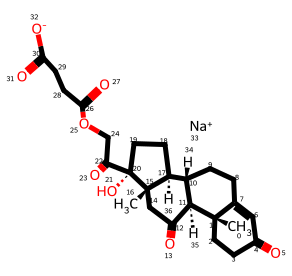 C[C@]12CCC(=O)C=C1CC[C@@H]1[C@@H]2C(=O)C[C@@]2(C)[C@H]1CC[C@]2(O)C(=O)COC(=O)CCC(=O)[O-].[Na+]